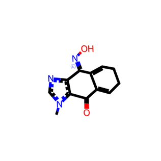 Cn1cnc2c1C(=O)C1=CCCC=C1/C2=N\O